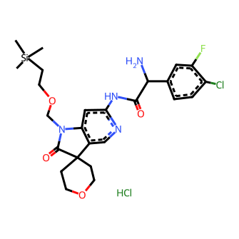 C[Si](C)(C)CCOCN1C(=O)C2(CCOCC2)c2cnc(NC(=O)C(N)c3ccc(Cl)c(F)c3)cc21.Cl